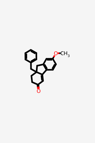 COc1ccc2c(c1)CC1(Cc3ccccc3)CCC(=O)C=C21